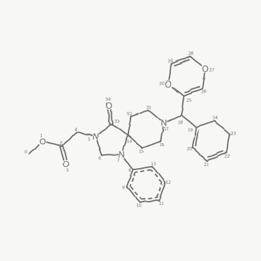 COC(=O)CN1CN(c2ccccc2)C2(CCN(C(C3=CC=CCC3)C3=COC=CO3)CC2)C1=O